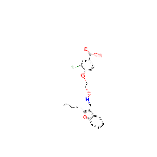 CCCCc1oc2ccccc2c1C=NOCCOc1ccc(C(=O)O)cc1Cl